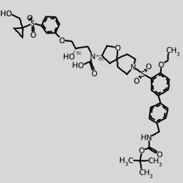 CCOc1ccc(-c2ccc(CNC(=O)OC(C)(C)C)cc2)cc1S(=O)(=O)N1CCC2(CC1)C[C@H](N(C[C@H](O)COc1cccc(S(=O)(=O)C3(CO)CC3)c1)C(=O)O)CO2